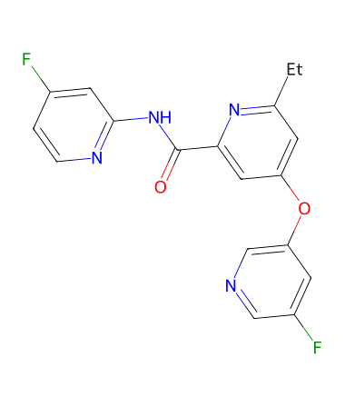 CCc1cc(Oc2cncc(F)c2)cc(C(=O)Nc2cc(F)ccn2)n1